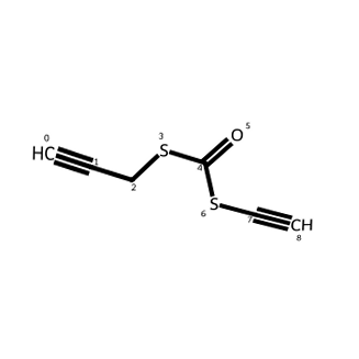 C#CCSC(=O)SC#C